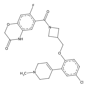 CN1CC=C(c2cc(Cl)ccc2OCC2CN(C(=O)c3cc4c(cc3F)OCC(=O)N4)C2)CC1